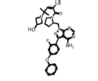 CC(C)(/C=C(/C#N)C(=O)N1CCCC1Cn1nc(-c2ccc(Oc3ccccc3)cc2F)c2c(N)ncnc21)N1CC(O)C1